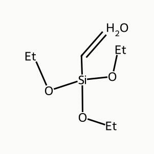 C=C[Si](OCC)(OCC)OCC.O